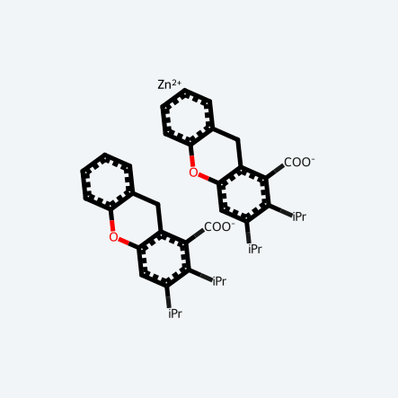 CC(C)c1cc2c(c(C(=O)[O-])c1C(C)C)Cc1ccccc1O2.CC(C)c1cc2c(c(C(=O)[O-])c1C(C)C)Cc1ccccc1O2.[Zn+2]